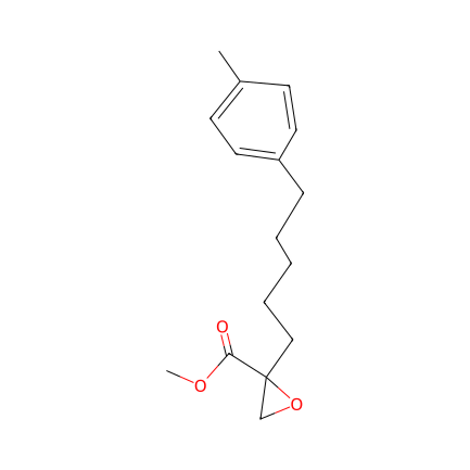 COC(=O)C1(CCCCCc2ccc(C)cc2)CO1